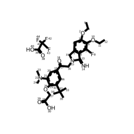 CCOc1cc2c(c(F)c1OCC)C(=N)N(CC(=O)c1cc(N(C)C)c(OCC(=O)O)c(C(C)(C)C)c1)C2.O=C(O)C(F)(F)F